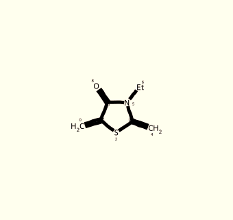 C=c1sc(=C)n(CC)c1=O